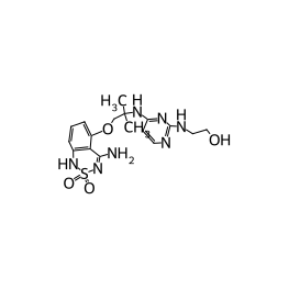 CC(C)(COc1cccc2c1C(N)=NS(=O)(=O)N2)Nc1ccnc(NCCO)n1